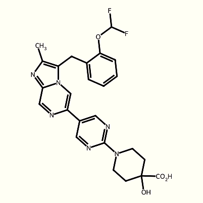 Cc1nc2cnc(-c3cnc(N4CCC(O)(C(=O)O)CC4)nc3)cn2c1Cc1ccccc1OC(F)F